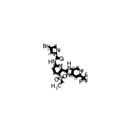 CCS(=O)(=O)c1ccc(NC(=O)n2cc(Br)cn2)nc1-c1nc2cc(C(F)(F)F)ncc2[nH]1